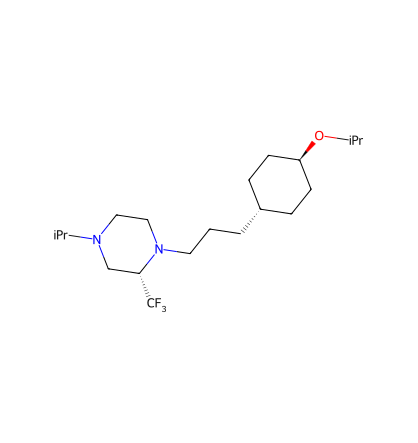 CC(C)O[C@H]1CC[C@H](CCCN2CCN(C(C)C)C[C@H]2C(F)(F)F)CC1